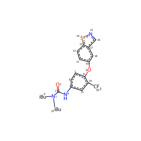 CCC(C)N(C(=O)Nc1ccc(Oc2ccc3sncc3c2)c(C(F)(F)F)c1)C(C)CC